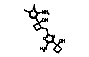 Cc1cc(C2(O)CCC2Cc2nc(C3(O)CCC3)c(N)o2)c(N)n1C